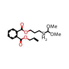 C=CCOC(=O)c1ccccc1C(=O)OCCC[SiH2]C(OC)OC